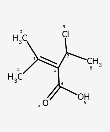 CC(C)=C(C(=O)O)C(C)Cl